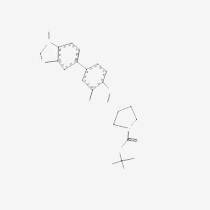 CC(C)(C)OC(=O)N1CC[C@@H](COc2ccc(-c3ccc4c(c3)OC[S+]4[O-])cc2F)C1